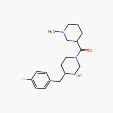 CN1CCCC(C(=O)N2CCC(Cc3ccc(F)cc3)CC2)C1.Cl